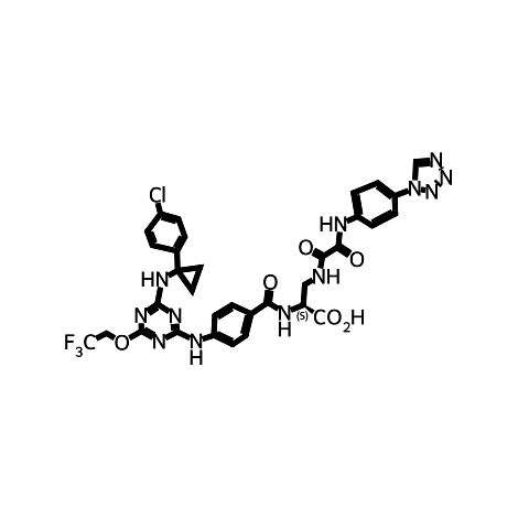 O=C(NC[C@H](NC(=O)c1ccc(Nc2nc(NC3(c4ccc(Cl)cc4)CC3)nc(OCC(F)(F)F)n2)cc1)C(=O)O)C(=O)Nc1ccc(-n2cnnn2)cc1